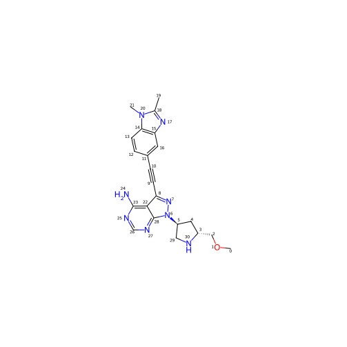 COC[C@H]1C[C@H](n2nc(C#Cc3ccc4c(c3)nc(C)n4C)c3c(N)ncnc32)CN1